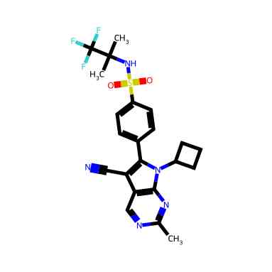 Cc1ncc2c(C#N)c(-c3ccc(S(=O)(=O)NC(C)(C)C(F)(F)F)cc3)n(C3CCC3)c2n1